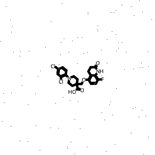 O=C1CCc2c(OCC3(C(=O)O)CCN(c4ccc(Cl)cc4Cl)CC3)ccc(F)c2N1